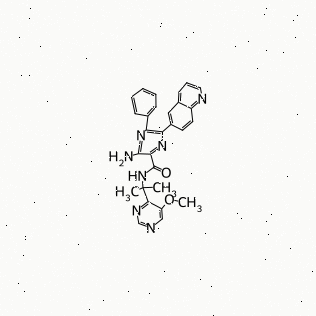 COc1cncnc1C(C)(C)NC(=O)c1nc(-c2ccc3ncccc3c2)c(-c2ccccc2)nc1N